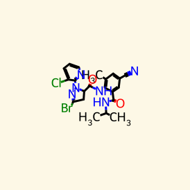 Cc1cc(C#N)cc(C(=O)NC(C)C)c1NC(=O)C1CC(Br)=NN1c1ncccc1Cl